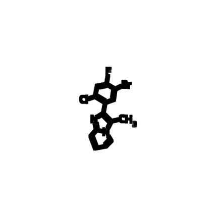 Cc1c(-c2cc(Br)c(F)cc2Cl)nc2ccccn12